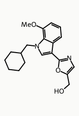 COc1cccc2c(-c3ncc(CO)o3)cn(CC3CCCCC3)c12